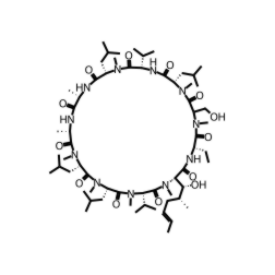 C/C=C/C[C@@H](C)[C@@H](O)[C@H]1C(=O)N[C@@H](CC)C(=O)N(C)C(CO)C(=O)N(C)[C@@H](CC(C)C)C(=O)N[C@@H](C(C)C)C(=O)N(C)[C@@H](CC(C)C)C(=O)N[C@@H](C)C(=O)N[C@@H](C)C(=O)N(C)[C@@H](CC(C)C)C(=O)N(C)[C@@H](CC(C)C)C(=O)N(C)[C@@H](C(C)C)C(=O)N1C